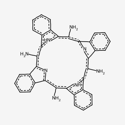 Nc1c2nc(c(N)c3[nH]c(c(N)c4nc(c(N)c5[nH]c1c1ccccc51)-c1ccccc1-4)c1ccccc31)-c1ccccc1-2